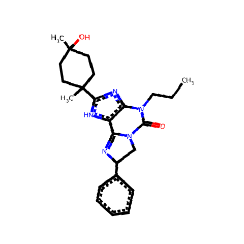 CCCN1C(=O)N2CC(c3ccccc3)N=C2c2[nH]c(C3(C)CCC(C)(O)CC3)nc21